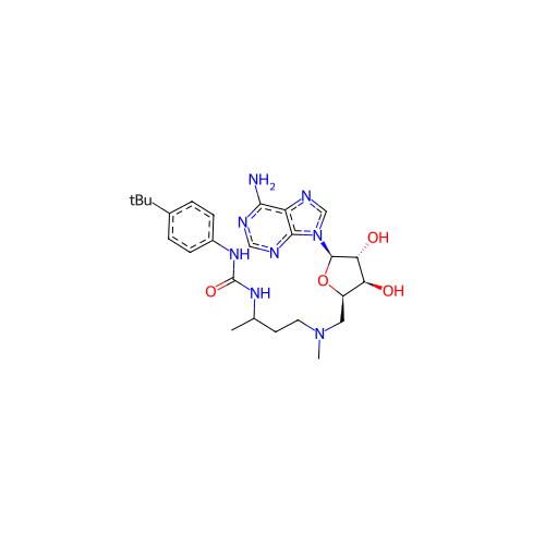 CC(CCN(C)C[C@H]1O[C@@H](n2cnc3c(N)ncnc32)[C@H](O)[C@H]1O)NC(=O)Nc1ccc(C(C)(C)C)cc1